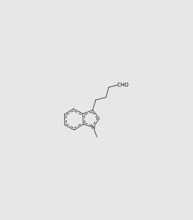 Cn1cc(CCCC=O)c2ccccc21